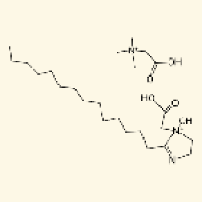 CCCCCCCCCCCCCCC1=NCC[N+]1(O)CC(=O)O.C[N+](C)(C)CC(=O)O